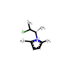 Cc1ccc(C)n1[C@@H](C)C(C)Cl